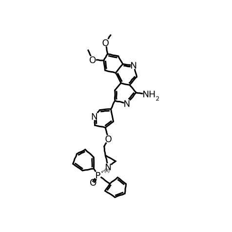 COc1cc2ncc3c(N)nc(-c4cncc(OCC5C[N@]5P(=O)(c5ccccc5)c5ccccc5)c4)cc3c2cc1OC